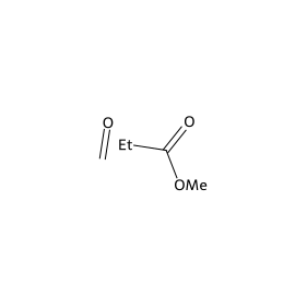 C=O.CCC(=O)OC